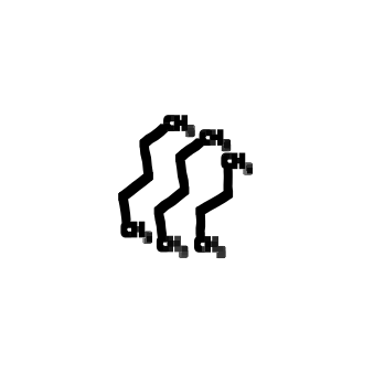 CCCC.CCCCC.CCCCC